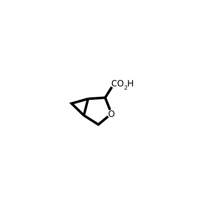 O=C(O)C1OCC2CC21